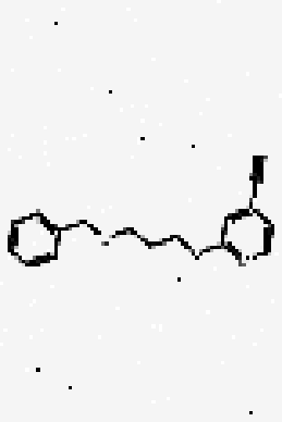 C#Cc1ccnc(OCCCOCc2ccccc2)c1